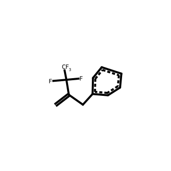 C=C(Cc1ccccc1)C(F)(F)C(F)(F)F